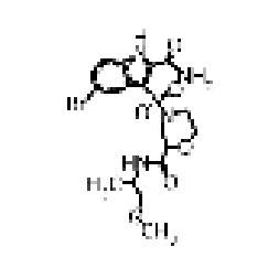 COCC(C)NC(=O)C1CN(S(=O)(=O)c2c(C(N)=O)[nH]c3ccc(Br)cc23)CCO1